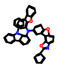 c1ccc(-c2nc3ccc4oc5ccc(N(c6cccc7c6oc6ccccc67)c6cccc7c8ccccc8n(-c8ccccc8)c67)cc5c4c3o2)cc1